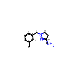 Cc1cccc(CN2CCC(N)=N2)c1